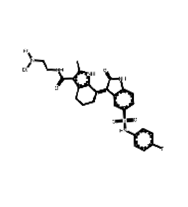 CCN(CC)CCNC(=O)c1c(C)[nH]c2c1CCC/C2=C1/C(=O)Nc2ccc(S(=O)(=O)Nc3ccc(F)cc3)cc21